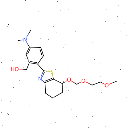 COCCOCOC1CCCc2nc(-c3ccc(N(C)C)cc3CO)sc21